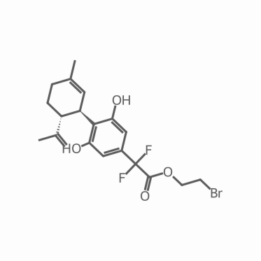 C=C(C)[C@@H]1CCC(C)=C[C@H]1c1c(O)cc(C(F)(F)C(=O)OCCBr)cc1O